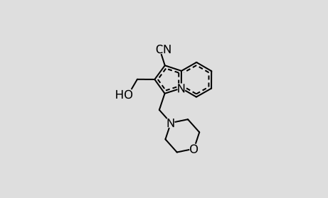 N#Cc1c(CO)c(CN2CCOCC2)n2ccccc12